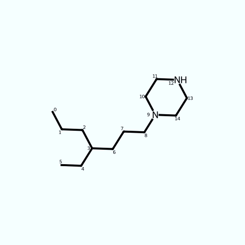 CCCC(CC)CCCN1CCNCC1